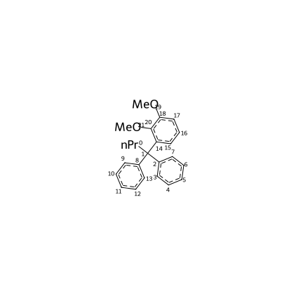 CCCC(c1ccccc1)(c1ccccc1)c1cccc(OC)c1OC